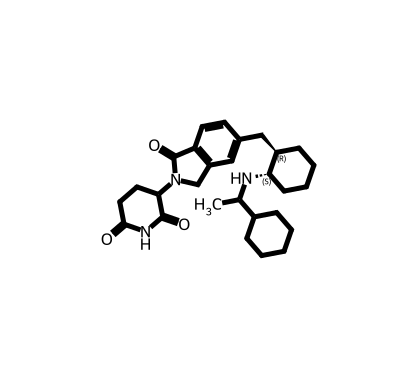 CC(N[C@H]1CCCC[C@@H]1Cc1ccc2c(c1)CN(C1CCC(=O)NC1=O)C2=O)C1CCCCC1